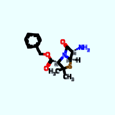 CC1(C)S[C@@H]2[C@@H](N)C(=O)N2[C@H]1C(=O)OCc1ccccc1